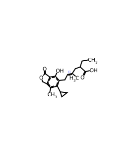 CCC(C/C(C)=C/Cc1c(O)c2c(c(C)c1C1CC1)COC2=O)C(=O)O